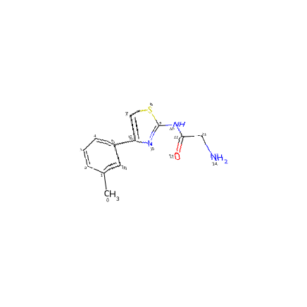 Cc1cccc(-c2csc(NC(=O)CN)n2)c1